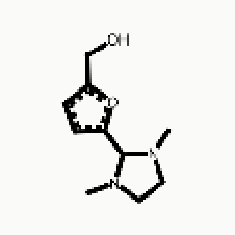 CN1CCN(C)C1c1ccc(CO)o1